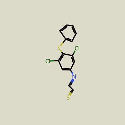 S=CC=Nc1cc(Cl)c(Sc2ccccc2)c(Cl)c1